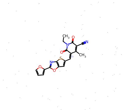 CCN1C(=O)C(C#N)=C(C)/C(=C/c2cc3oc(-c4ccco4)nc3s2)C1=O